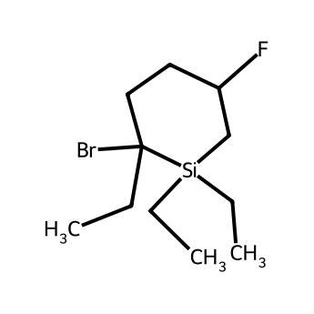 CCC1(Br)CCC(F)C[Si]1(CC)CC